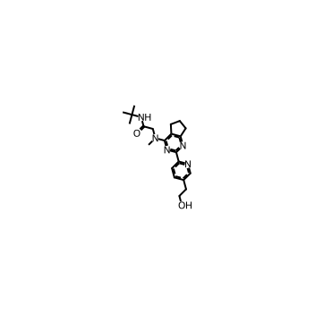 CN(CC(=O)NC(C)(C)C)c1nc(-c2ccc(CCO)cn2)nc2c1CCC2